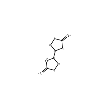 O=C1CCC(C2CCC(=O)O2)C1